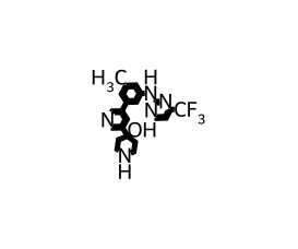 Cc1cc(Nc2nccc(C(F)(F)F)n2)cc(-c2cncc(C3(O)CCNCC3)c2)c1